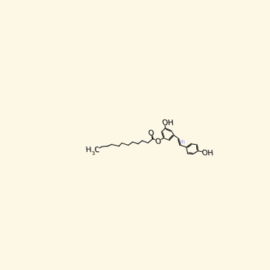 CCCCCCCCCCCC(=O)Oc1cc(O)cc(/C=C/c2ccc(O)cc2)c1